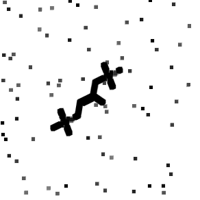 C/C(=C\C[N+](C)(C)C)C[N+](C)(C)C